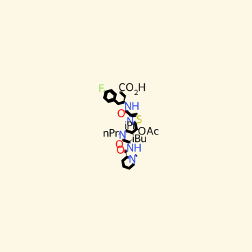 CCCN(C(=O)C(NC(=O)[C@H]1CCCCN1C)[C@@H](C)CC)[C@H](C[C@@H](OC(C)=O)c1nc(C(=O)N[C@H](CCC(=O)O)Cc2ccc(F)cc2)cs1)C(C)C